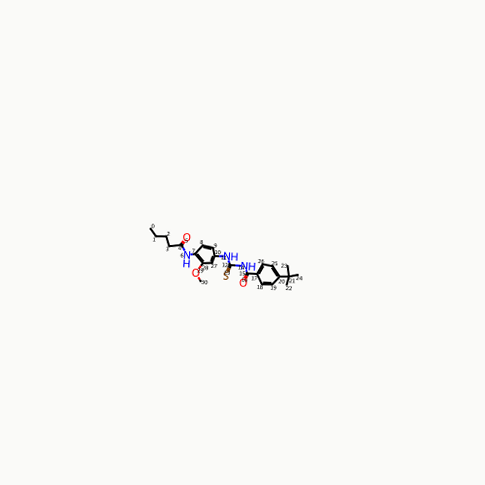 CCCCC(=O)Nc1ccc(NC(=S)NC(=O)c2ccc(C(C)(C)C)cc2)cc1OC